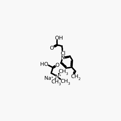 C=Cc1ccncc1.C[N+](C)(C)CC(=O)O.O=C(O)CCl.[Na+]